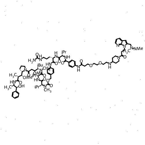 CC[C@H](C)[C@@H]([C@@H](CC(=O)N1CCC[C@H]1[C@H](OC)[C@@H](C)C(=O)N[C@H](C)[C@@H](O)c1ccccc1)OC)N(C)C(=O)[C@@H](NC(=O)[C@H](C(C)C)N(C)C(=O)OCc1ccc(NC(=O)[C@H](CCCNC(N)=O)NC(=O)[C@@H](NC(=O)c2ccc(NC(=O)CCOCCOCCNC3CCN(C(=O)CCn4c(CN(C)NC)cc5cccnc54)CC3)cc2)C(C)C)cc1)C(C)C